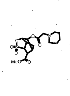 COC(=O)C1C2CC3C(OS(=O)(=O)C31)C2OC(=O)CN1CCCCC1